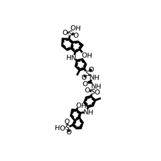 Cc1cc(Nc2c(O)ccc3c(S(=O)(=O)O)cccc23)ccc1S(=O)(=O)NC(=O)NS(=O)(=O)c1ccc(Nc2c(O)ccc3c(S(=O)(=O)O)cccc23)cc1C